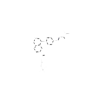 CN(C)C(=O)/C=C/c1ccc(-c2cncc3ccc(C(=O)OCC[Si](C)(C)C)cc23)cc1